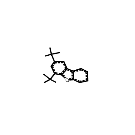 CC(C)(C)c1cc(C(C)(C)C)c2oc3ccccc3c2c1